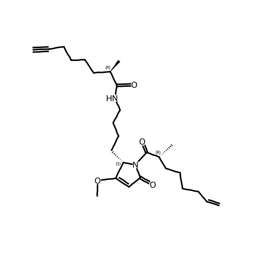 C#CCCCC[C@@H](C)C(=O)NCCCC[C@H]1C(OC)=CC(=O)N1C(=O)[C@H](C)CCCCC=C